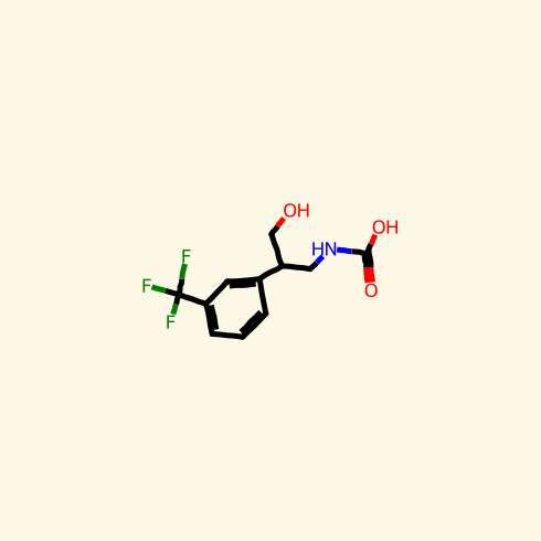 O=C(O)NCC(CO)c1cccc(C(F)(F)F)c1